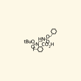 CC(C)(C)OC(=O)N(CCNC(=O)OCc1ccccc1)c1c(F)cccc1C(=O)O